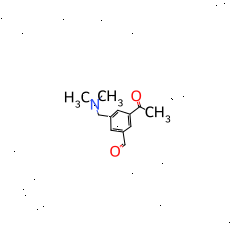 CC(=O)c1cc(C=O)cc(CN(C)C)c1